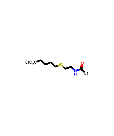 CCOC(=O)CCCCSCCNC(=O)CC